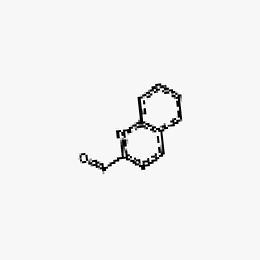 O=[C]c1ccc2ccccc2n1